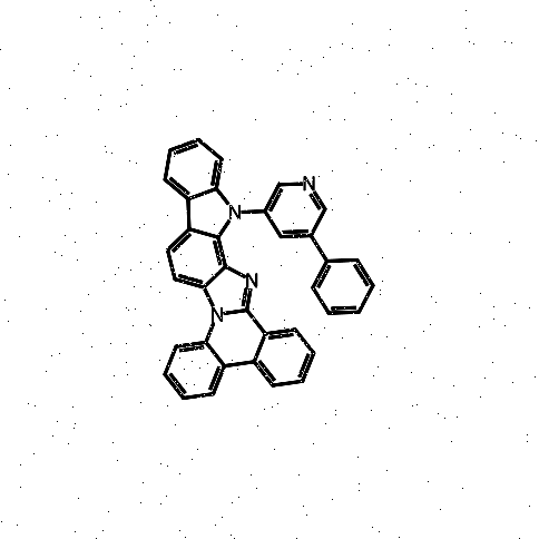 c1ccc(-c2cncc(-n3c4ccccc4c4ccc5c(nc6c7ccccc7c7ccccc7n56)c43)c2)cc1